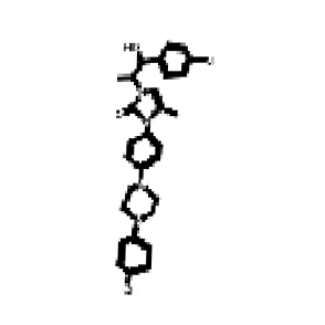 Cc1cn(C(C)C(O)c2ccc(Cl)cc2)c(=O)n1-c1ccc(N2CCN(c3ccc(O)cc3)CC2)cc1